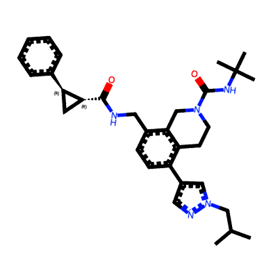 CC(C)Cn1cc(-c2ccc(CNC(=O)[C@@H]3C[C@H]3c3ccccc3)c3c2CCN(C(=O)NC(C)(C)C)C3)cn1